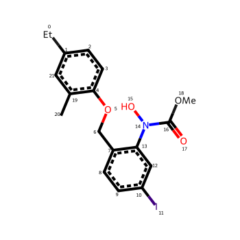 CCc1ccc(OCc2ccc(I)cc2N(O)C(=O)OC)c(C)c1